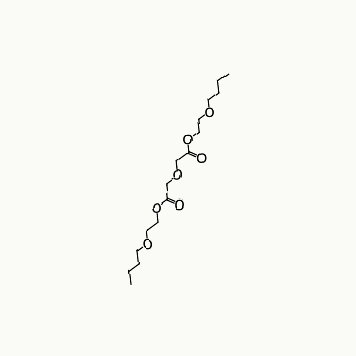 CCCCOCCOC(=O)COCC(=O)OCCOCCCC